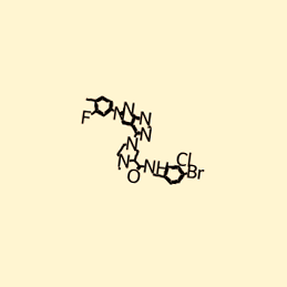 Cc1ccc(-n2cc3c(N4CCN(C)C(C(=O)NCc5ccc(Br)c(Cl)c5)C4)ncnc3n2)cc1F